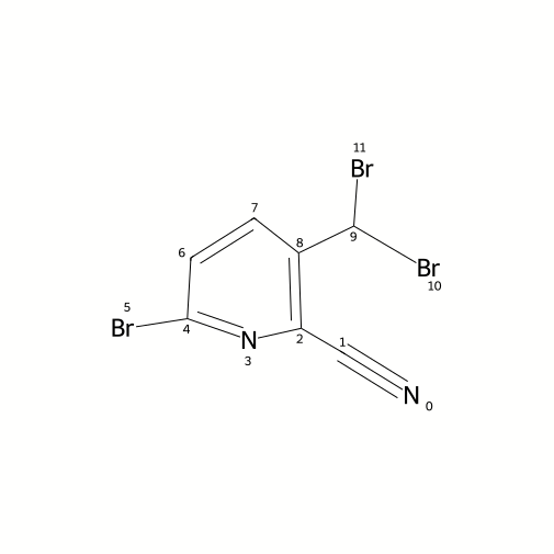 N#Cc1nc(Br)ccc1C(Br)Br